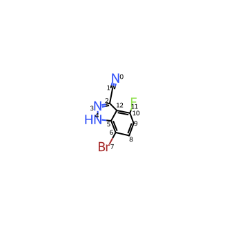 N#Cc1n[nH]c2c(Br)ccc(F)c12